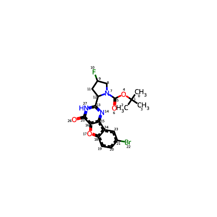 CC(C)(C)OC(=O)N1CC(F)CC1c1nc2c(oc3ccc(Br)cc32)c(=O)[nH]1